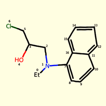 CCN(CC(O)CCl)c1cccc2ccccc12